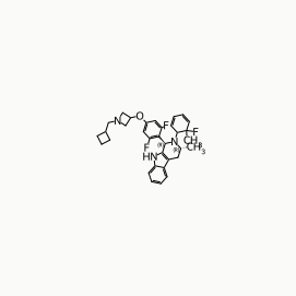 C[C@@H]1Cc2c([nH]c3ccccc23)[C@@H](c2c(F)cc(OC3CN(CC4CCC4)C3)cc2F)N1C1C=CC=CC1(C)F